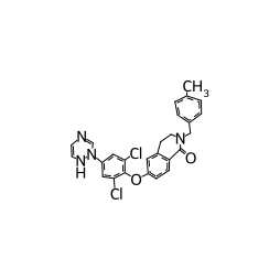 Cc1ccc(CN2CCc3cc(Oc4c(Cl)cc(N5C=NC=CN5)cc4Cl)ccc3C2=O)cc1